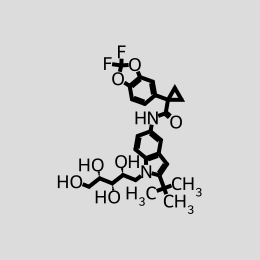 CC(C)(C)c1cc2cc(NC(=O)C3(c4ccc5c(c4)OC(F)(F)O5)CC3)ccc2n1C[C@@H](O)[C@H](O)[C@@H](O)CO